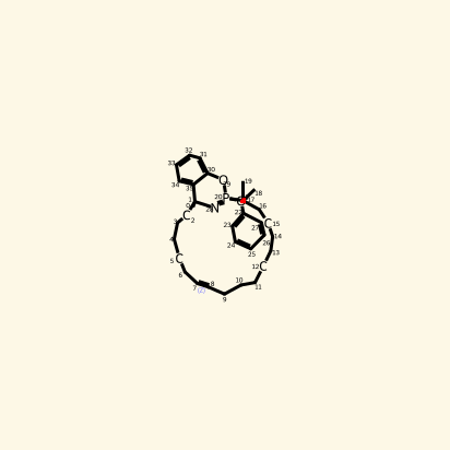 CC12CCCCC/C=C\CCCCCCCCC(C)(C)P(Oc3ccccc3)(=N1)Oc1ccccc12